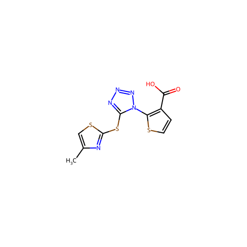 Cc1csc(Sc2nnnn2-c2sccc2C(=O)O)n1